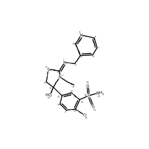 CN1/C(=N\Cc2cccnc2)SCC1(O)c1ccc(Cl)c(S(N)(=O)=O)c1